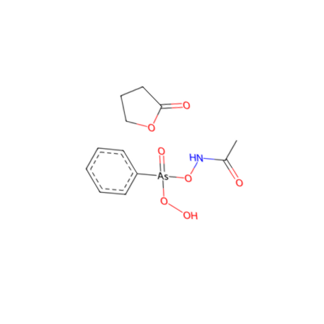 CC(=O)NO[As](=O)(OO)c1ccccc1.O=C1CCCO1